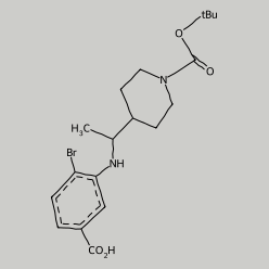 CC(Nc1cc(C(=O)O)ccc1Br)C1CCN(C(=O)OC(C)(C)C)CC1